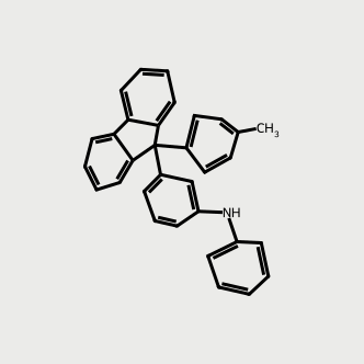 Cc1ccc(C2(c3cccc(Nc4ccccc4)c3)c3ccccc3-c3ccccc32)cc1